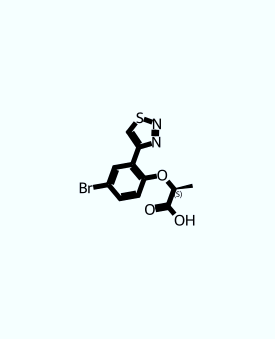 C[C@H](Oc1ccc(Br)cc1-c1csnn1)C(=O)O